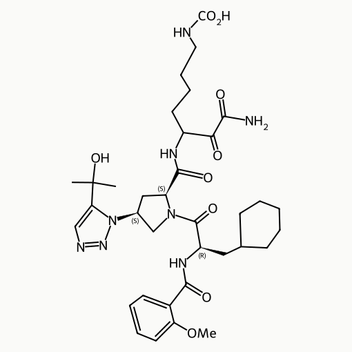 COc1ccccc1C(=O)N[C@H](CC1CCCCC1)C(=O)N1C[C@@H](n2nncc2C(C)(C)O)C[C@H]1C(=O)NC(CCCCNC(=O)O)C(=O)C(N)=O